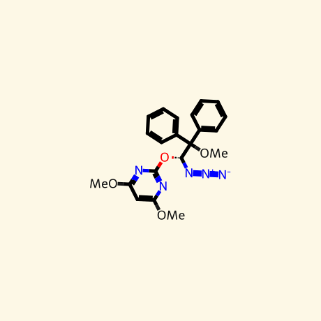 COc1cc(OC)nc(O[C@@H](N=[N+]=[N-])C(OC)(c2ccccc2)c2ccccc2)n1